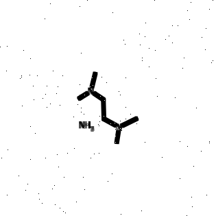 CN(C)CCN(C)C.N